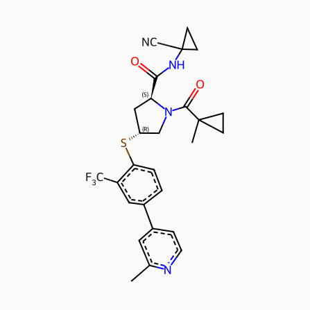 Cc1cc(-c2ccc(S[C@@H]3C[C@@H](C(=O)NC4(C#N)CC4)N(C(=O)C4(C)CC4)C3)c(C(F)(F)F)c2)ccn1